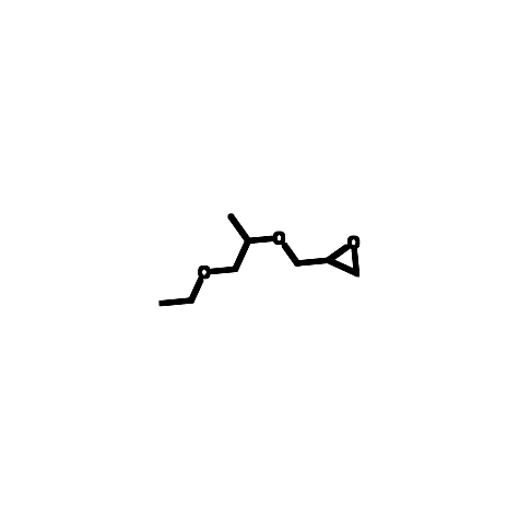 CCOCC(C)OCC1CO1